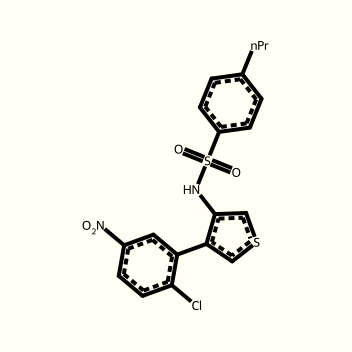 CCCc1ccc(S(=O)(=O)Nc2cscc2-c2cc([N+](=O)[O-])ccc2Cl)cc1